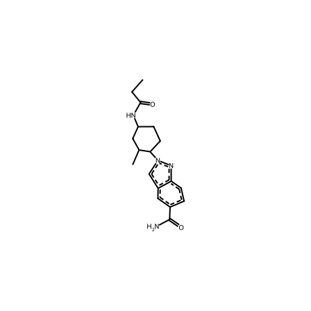 CCC(=O)NC1CCC(n2cc3cc(C(N)=O)ccc3n2)C(C)C1